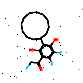 O=C(CF)c1c(O)c(C2CCCCCCCCCCC2)c(O)c(F)c1F